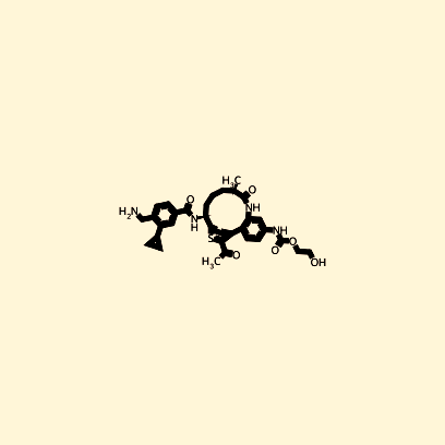 CC(=O)c1sc2cc1-c1ccc(NC(=O)OCCO)cc1NC(=O)[C@H](C)CCC[C@@H]2NC(=O)c1ccc(CN)c(C2CC2)c1